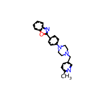 Cc1ccc(CN2CCN(c3ccc(-c4nc5ccccc5o4)cc3)CC2)cn1